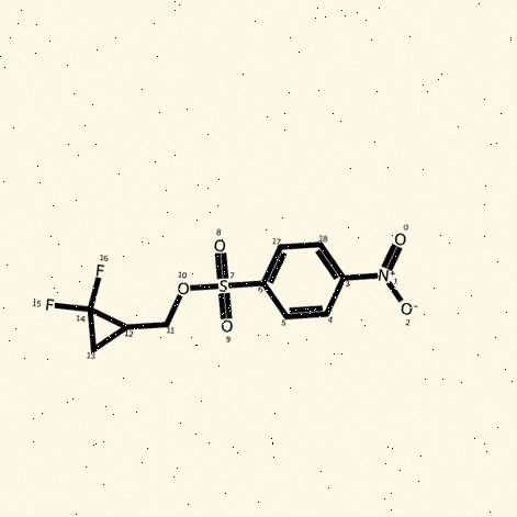 O=[N+]([O-])c1ccc(S(=O)(=O)OCC2CC2(F)F)cc1